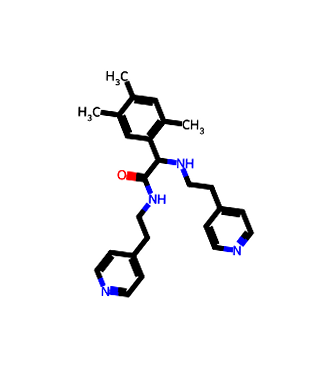 Cc1cc(C)c(C(NCCc2ccncc2)C(=O)NCCc2ccncc2)cc1C